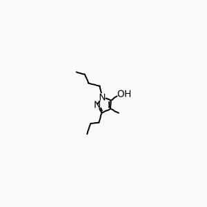 CCCCn1nc(CCC)c(C)c1O